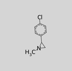 CN1CC1c1ccc(Cl)cc1